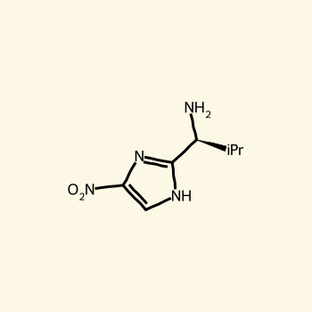 CC(C)[C@H](N)c1nc([N+](=O)[O-])c[nH]1